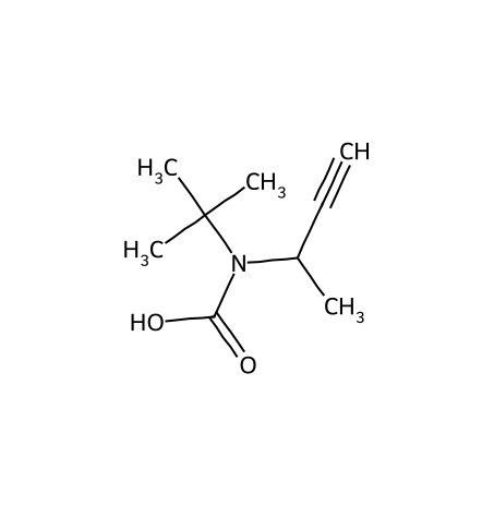 C#CC(C)N(C(=O)O)C(C)(C)C